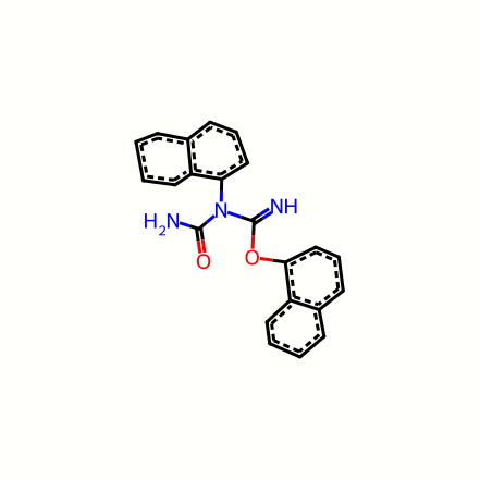 N=C(Oc1cccc2ccccc12)N(C(N)=O)c1cccc2ccccc12